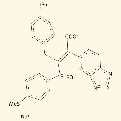 CSc1ccc(C(=O)C(Cc2ccc(C(C)(C)C)cc2)=C(C(=O)[O-])c2ccc3nsnc3c2)cc1.[Na+]